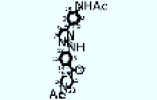 CC(=O)Nc1ccc(-c2ccnc(Nc3cccc(C(=O)N4CCN(C(C)=O)CC4)c3)n2)cc1